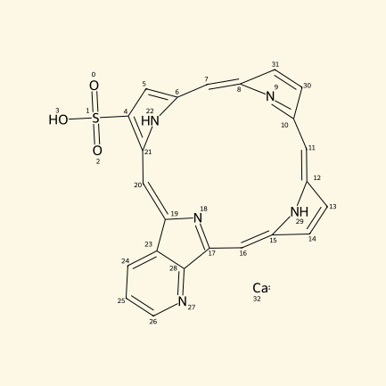 O=S(=O)(O)c1cc2cc3nc(cc4ccc(cc5nc(cc1[nH]2)-c1cccnc1-5)[nH]4)C=C3.[Ca]